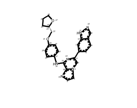 c1cn2cc(-c3ccc4cn[nH]c4c3)nc(Nc3ccc(OC[C@@H]4CCCO4)cc3)c2n1